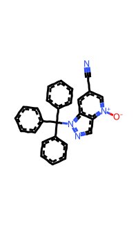 N#Cc1cc2c(cnn2C(c2ccccc2)(c2ccccc2)c2ccccc2)[n+]([O-])c1